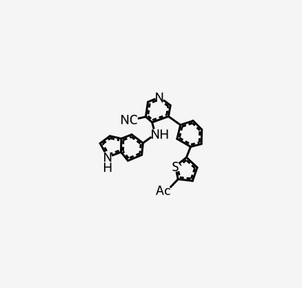 CC(=O)c1ccc(-c2cccc(-c3cncc(C#N)c3Nc3ccc4[nH]ccc4c3)c2)s1